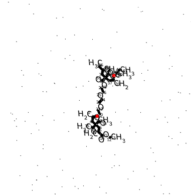 C=C(CC)CC(CC(=C)C(=O)OCC)(C(C)=O)C(=O)OCCOCCOCCOC(=O)C(CC(=C)CC)(CC(=C)C(=O)OCC)C(=O)OCC